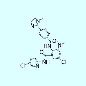 CN1CCN=C1c1ccc(C(=O)Nc2c(C(=O)Nc3ccc(Cl)cn3)cc(Cl)cc2N(C)C)cc1